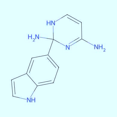 NC1=NC(N)(c2ccc3[nH]ccc3c2)NC=C1